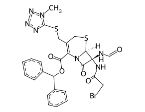 Cn1nnnc1SCC1=C(C(=O)OC(c2ccccc2)c2ccccc2)N2C(=O)[C@@](NC=O)(NC(=O)CBr)[C@@H]2SC1